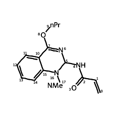 C=CC(=O)NC1N=C(OCCC)c2ccccc2N1NC